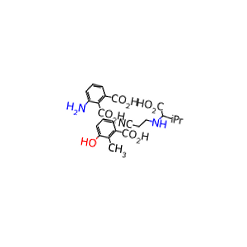 CC(C)C(NCCC#N)C(=O)O.Cc1c(O)cccc1C(=O)O.Nc1cccc(C(=O)O)c1C(=O)O